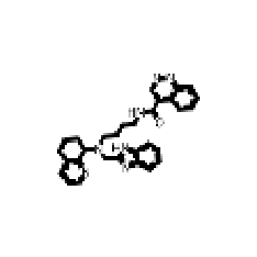 O=C(NCCCCN(Cc1nc2ccccc2[nH]1)C1CCCc2cccnc21)c1cnnc2ccccc12